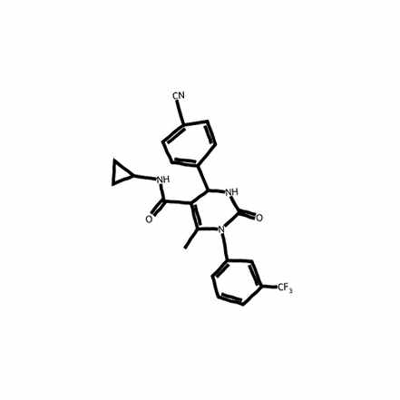 CC1=C(C(=O)NC2CC2)C(c2ccc(C#N)cc2)NC(=O)N1c1cccc(C(F)(F)F)c1